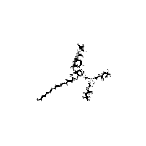 CCCCCCCCCCCCCCC(=O)O[C@@H]1[C@@H](COP(=O)(OCOC(=O)CC(C)(C)C)OCOC(=O)CC(C)(C)C)O[C@@H](n2ccc(NC(=O)OC(C)(C)C)nc2=O)C1(F)F